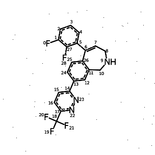 Fc1cccc(C2=CCNCc3cc(-c4ccc(C(F)(F)F)nn4)ccc32)c1F